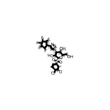 O=S(=O)(c1ccc(Cl)c(Cl)c1)[C@H]1OC(CO)[C@H](O)C(n2cc(-c3c(F)c(F)c(F)c(F)c3F)nn2)C1O